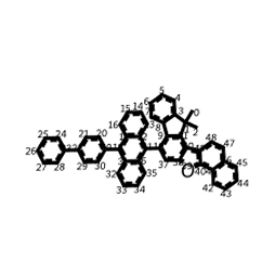 CC1(C)c2ccccc2-c2c(-c3c4ccccc4c(-c4ccc(-c5ccccc5)cc4)c4ccccc34)cc3oc4c5ccccc5ccc4c3c21